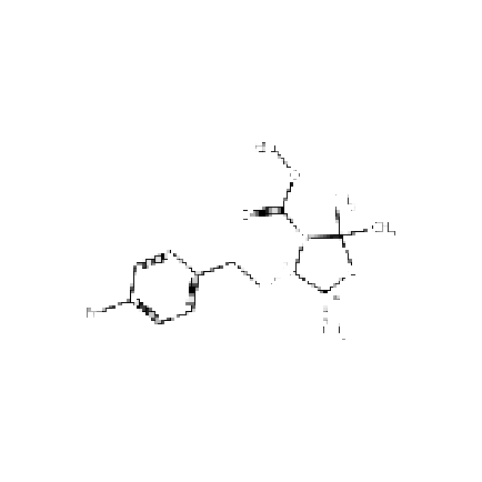 C[C@H]1OC(C)(C)N(C(=O)OC(C)(C)C)[C@H]1CCc1ccc(Br)cc1